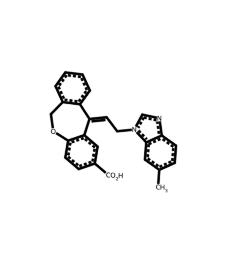 Cc1ccc2ncn(CC=C3c4ccccc4COc4ccc(C(=O)O)cc43)c2c1